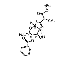 [CH2][C@H]1O[C@@H]2SC(N(C)C(=O)OC(C)(C)C)=N[C@@H]2[C@@H](O)[C@@H]1OC(=O)c1ccccc1